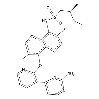 CO[C@H](C)CS(=O)(=O)Nc1c(F)ccc2c(Oc3ncccc3-c3ccnc(N)n3)c(C)ccc12